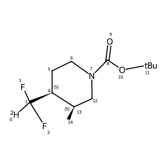 [2H]C(F)(F)[C@H]1CCN(C(=O)OC(C)(C)C)C[C@H]1C